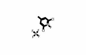 Cc1cc(Cl)[n+](F)c(Cl)c1.F[B-](F)(F)F